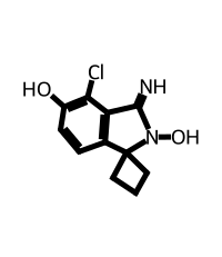 N=C1c2c(ccc(O)c2Cl)C2(CCC2)N1O